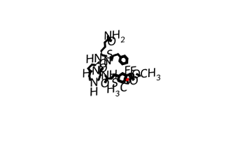 CCOP(=O)(OCC)C(F)(F)c1ccc2sc(C(=O)N[C@H]3CNCC[C@H]4CC[C@@H](C(=O)N[C@@H](CCCC(N)=O)c5ncc(Cc6ccccc6)s5)N4C3=O)cc2c1